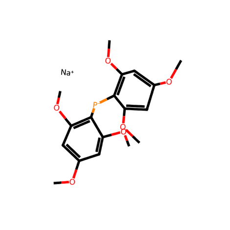 COc1cc(OC)c([P-]c2c(OC)cc(OC)cc2OC)c(OC)c1.[Na+]